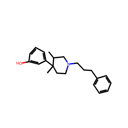 CC1CN(CCCc2ccccc2)CCC1(C)c1cccc(O)c1